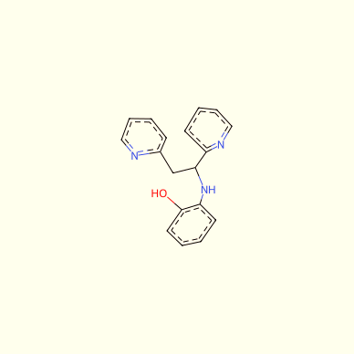 Oc1ccccc1NC(Cc1ccccn1)c1ccccn1